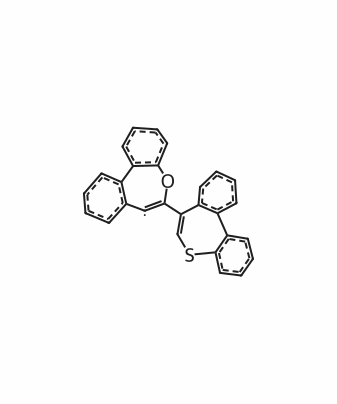 [C]1=C(C2=CSc3ccccc3-c3ccccc32)Oc2ccccc2-c2ccccc21